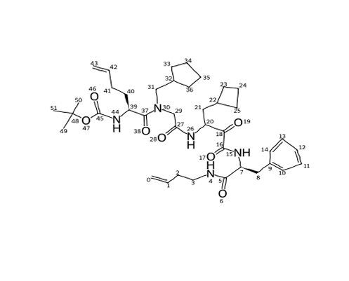 C=CCCNC(=O)[C@H](Cc1ccccc1)NC(=O)C(=O)C(CC1CCC1)NC(=O)CN(CC1CCCC1)C(=O)[C@H](CCC=C)NC(=O)OC(C)(C)C